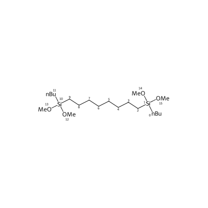 CCCC[Si](CCCCCCCC[Si](CCCC)(OC)OC)(OC)OC